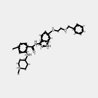 Cc1ccc(C(=O)Nc2n[nH]c3cc(OCCOCc4ccccc4)ccc23)c(NC2CCN(C)CC2)c1